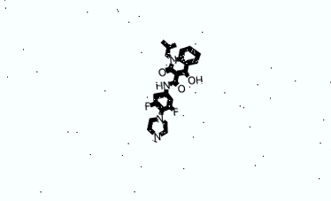 CC(C)Cn1c(=O)c(C(=O)Nc2cc(F)c(N3CCN(C)CC3)c(F)c2)c(O)c2ccccc21